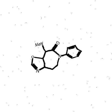 CNC1C(=O)N(c2ccccc2)CCC2N=COC21